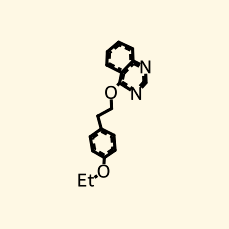 CCOc1ccc(CCOc2ncnc3ccccc23)cc1